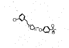 CS(=O)(=O)c1ccc(OC[C@H]2CCN(CCc3cccc(Cl)c3)C2)cc1